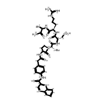 CCC(C)C(NC(=O)[C@@H](CCCNC(=N)N)NC(=O)[C@H](CC(=O)O)NC(=O)[C@H]([C@@H](C)CC)N1CCC(NC(=O)Cc2ccc(NC(=O)c3cnc4ccccc4n3)cc2)C1=O)C(N)=O